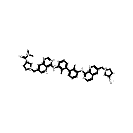 Cc1c(Nc2nccc3cc(CN4CC[C@@H](O)C4)cnc23)cccc1-c1cccc(Nc2ncnc3cc(CN4CC[C@@H](C(=O)N(C)C)C4)cnc23)c1C